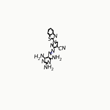 N#Cc1cn(-c2nc3ccccc3s2)nc1/N=N/c1c(N)nc(N)nc1N